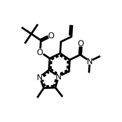 C=CCc1c(C(=O)N(C)C)cn2c(C)c(C)nc2c1OC(=O)C(C)(C)C